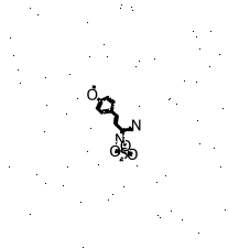 COc1ccc(/C=C/C(C#N)=N/OS(C)(=O)=O)cc1